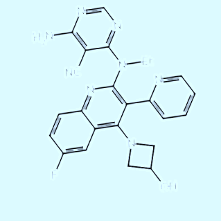 CCN(c1ncnc(N)c1C#N)c1nc2ccc(F)cc2c(N2CC(O)C2)c1-c1ccccn1